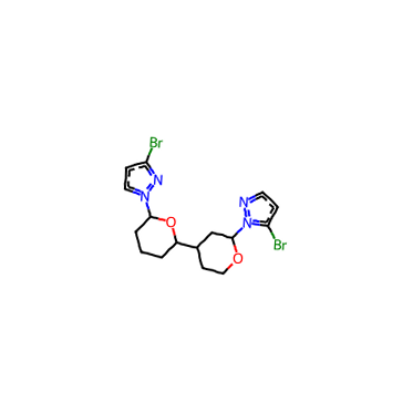 Brc1ccn(C2CCCC(C3CCOC(n4nccc4Br)C3)O2)n1